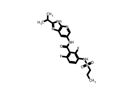 CCCS(=O)(=O)Nc1ccc(F)c(C(=O)Nc2cnc3[nH]c(C(C)C)nc3c2)c1F